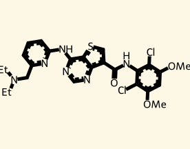 CCN(CC)Cc1cccc(Nc2ncnc3c(C(=O)Nc4c(Cl)c(OC)cc(OC)c4Cl)csc23)n1